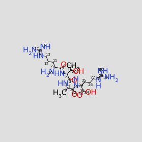 C[C@H](NC(=O)[C@@H](NC(=O)[C@@H](N)CCCNC(=N)N)[C@@H](C)O)C(=O)N[C@@H](CCCNC(=N)N)C(=O)O